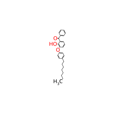 CCCCCCCCc1ccc(Oc2cccc(C(=O)c3ccccc3)c2O)cc1